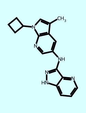 Cc1cn(C2CCC2)c2ncc(Nc3n[nH]c4cccnc34)cc12